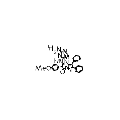 COc1ccc(-c2c(Nc3ncnc(N)n3)[nH]c3c(C4=CCCCC4)c(-c4ccccc4)nn3c2=O)cc1